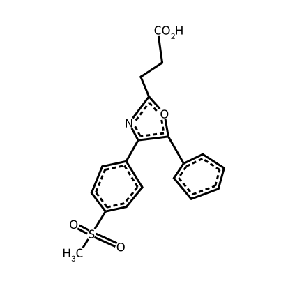 CS(=O)(=O)c1ccc(-c2nc(CCC(=O)O)oc2-c2ccccc2)cc1